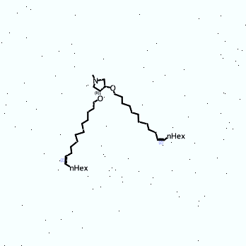 CCCCCC/C=C\CCCCCCCCCCOC1CN(C)C[C@H]1OCCCCCCCCCC/C=C\CCCCCC